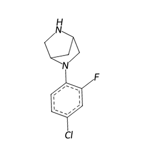 Fc1cc(Cl)ccc1N1CC2CC1CN2